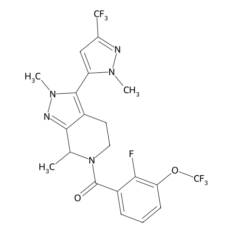 CC1c2nn(C)c(-c3cc(C(F)(F)F)nn3C)c2CCN1C(=O)c1cccc(OC(F)(F)F)c1F